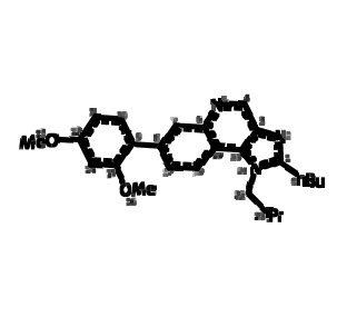 CCCCc1nc2cnc3cc(-c4ccc(OC)cc4OC)ccc3c2n1CC(C)C